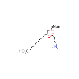 CCCCCCCCCC(CCCCCCCCCCC(=O)O)OC(=O)CCCN(C)C